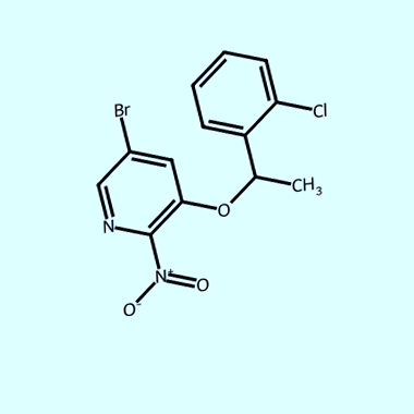 CC(Oc1cc(Br)cnc1[N+](=O)[O-])c1ccccc1Cl